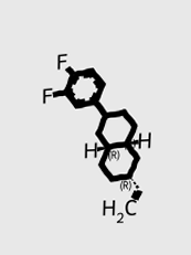 C=C[C@@H]1CC[C@@H]2CC(c3ccc(F)c(F)c3)CC[C@@H]2C1